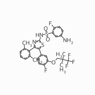 Cc1cccc(C)c1-c1nc(NS(=O)(=O)c2cc(N)ccc2F)sc1-c1ccc(F)c(OCC(C)(C)C(F)(F)F)c1